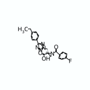 CCc1ccc(-c2nnn(C[C@@]3(C(=O)O)CN3C(=O)c3ccc(F)cc3)n2)cc1